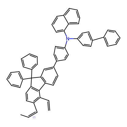 C=Cc1c(/C=C\C)ccc2c1-c1ccc(-c3ccc(N(c4ccc(-c5ccccc5)cc4)c4cccc5ccccc45)cc3)cc1C2(c1ccccc1)c1ccccc1